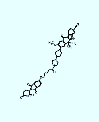 CCc1cc2c(cc1N1CCC(N3CCN(C(=O)CCCCOc4ccc5c(c4)C(=O)N(C4CCC(=O)NC4=O)C5=O)CC3)CC1)C(C)(C)c1[nH]c3cc(C#N)ccc3c1C2=O